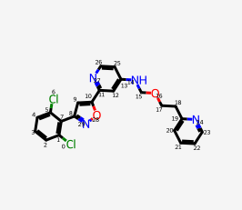 Clc1cccc(Cl)c1-c1cc(-c2cc(NCOCCc3ccccn3)ccn2)on1